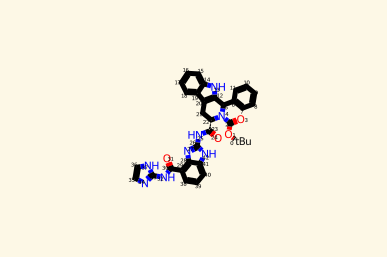 CC(C)(C)OC(=O)N1C(c2ccccc2)c2[nH]c3ccccc3c2C[C@H]1C(=O)Nc1nc2c(C(=O)Nc3ncc[nH]3)cccc2[nH]1